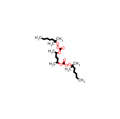 CCCCCC(C)(C)OOC(=O)OC(C)C=CC(C)OC(=O)OOC(C)(C)CCCCC